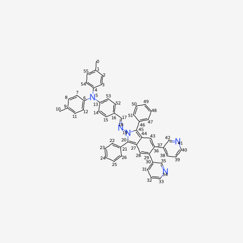 Cc1ccc(N(c2ccc(C)cc2)c2ccc(C=Nn3c(-c4ccccc4)c4cc(-c5cccnc5)c(-c5cccnc5)cc4c3-c3ccccc3)cc2)cc1